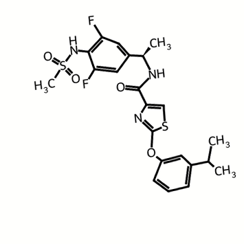 CC(C)c1cccc(Oc2nc(C(=O)N[C@H](C)c3cc(F)c(NS(C)(=O)=O)c(F)c3)cs2)c1